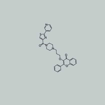 O=C(c1csc(-c2cccnc2)n1)N1CCN(CCCOc2c(-c3ccccc3)oc3ccccc3c2=O)CC1